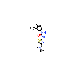 Cc1ccc(NC(=O)Nc2nc(CN(C)C(C)C)cs2)cc1C(F)(F)F